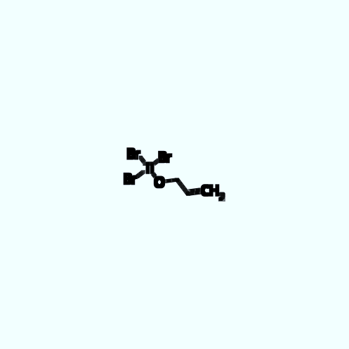 C=CC[O][Ti]([Br])([Br])[Br]